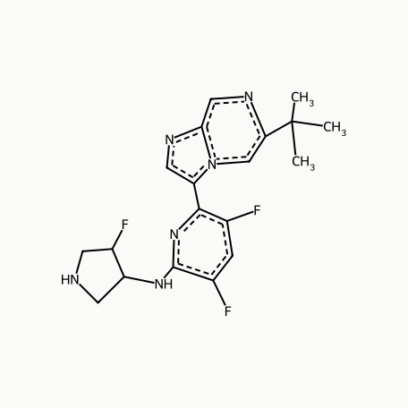 CC(C)(C)c1cn2c(-c3nc(NC4CNCC4F)c(F)cc3F)cnc2cn1